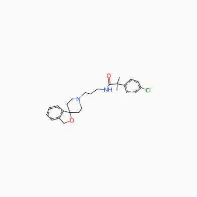 CC(C)(C(=O)NCCCN1CCC2(CC1)OCc1ccccc12)c1ccc(Cl)cc1